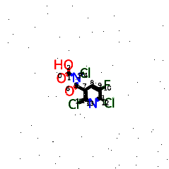 O=C(O)N(Cl)C(=O)c1cc(F)c(Cl)nc1Cl